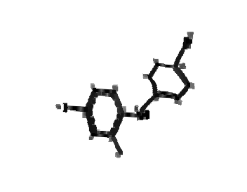 Cc1cc(I)ccc1NC1=CC=C(Br)C[CH]1